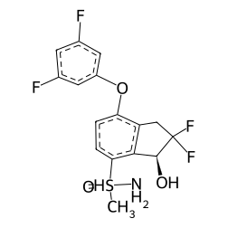 C[SH](N)(=O)c1ccc(Oc2cc(F)cc(F)c2)c2c1[C@H](O)C(F)(F)C2